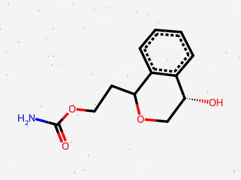 NC(=O)OCCC1OC[C@@H](O)c2ccccc21